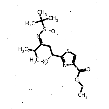 CCOC(=O)c1csc([C@H](O)C/C(=N\[S@@+]([O-])C(C)(C)C)C(C)C)n1